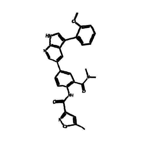 COc1ccccc1-c1c[nH]c2ncc(-c3ccc(NC(=O)c4cc(C)on4)c(C(=O)N(C)C)c3)cc12